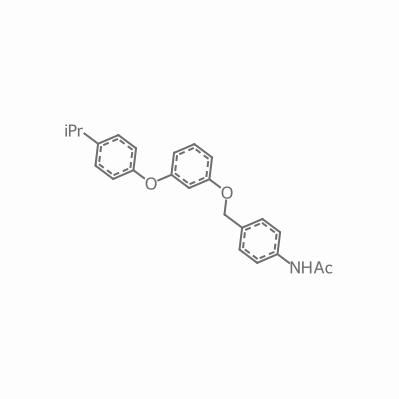 CC(=O)Nc1ccc(COc2cccc(Oc3ccc(C(C)C)cc3)c2)cc1